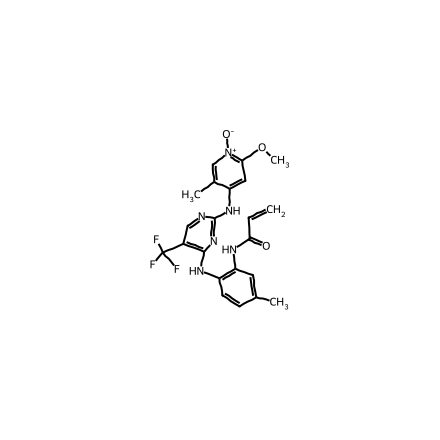 C=CC(=O)Nc1cc(C)ccc1Nc1nc(Nc2cc(OC)[n+]([O-])cc2C)ncc1C(F)(F)F